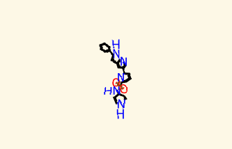 O=S(=O)(NC1CCNCC1)c1cccc(-c2cnc3[nH]c(-c4ccccc4)cc3c2)n1